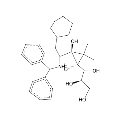 CC1(C)[C@@](O)(C(CC2CCCCC2)NC(c2ccccc2)c2ccccc2)[C@]1(O)[C@H](O)[C@H](O)CO